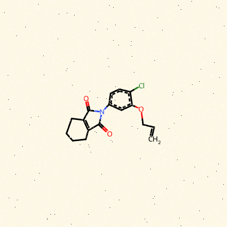 C=CCOc1cc(N2C(=O)C3=C(CCCC3)C2=O)ccc1Cl